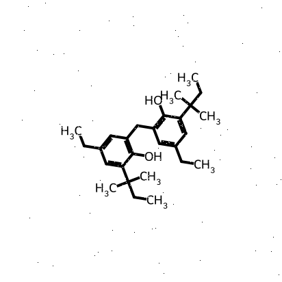 CCc1cc(Cc2cc(CC)cc(C(C)(C)CC)c2O)c(O)c(C(C)(C)CC)c1